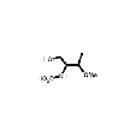 COC(C)C(CO)NC(=O)O